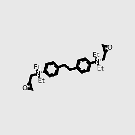 CC[N+](CC)(CC1CO1)c1ccc(CCc2ccc([N+](CC)(CC)CC3CO3)cc2)cc1